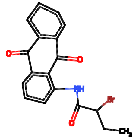 CCC(Br)C(=O)Nc1cccc2c1C(=O)c1ccccc1C2=O